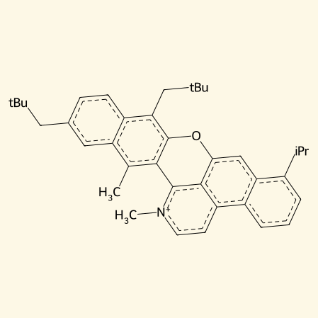 Cc1c2c(c(CC(C)(C)C)c3ccc(CC(C)(C)C)cc13)Oc1cc3c(C(C)C)cccc3c3cc[n+](C)c-2c13